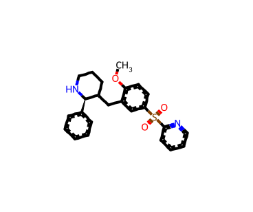 COc1ccc(S(=O)(=O)c2ccccn2)cc1C[C]1CCCN[C@@H]1c1ccccc1